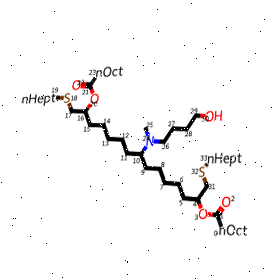 CCCCCCCCC(=O)OC(CCCCCC(CCCCCC(CSCCCCCCC)OC(=O)CCCCCCCC)N(C)CCCCO)CSCCCCCCC